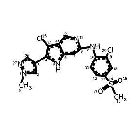 Cn1cc(-c2[nH]c3cc(Nc4ccc(S(C)(=O)=O)cc4Cl)ncc3c2Cl)cn1